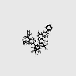 CC(C)[C@@H](CC(=O)c1ccccc1)NC(=O)N[C@H](C(=O)N1C[C@H]2[C@@H]([C@H]1C(=O)NC(C(=O)C(N)=O)C1CC1)C2(C)C)C(C)(C)C